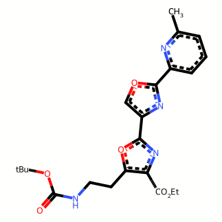 CCOC(=O)c1nc(-c2coc(-c3cccc(C)n3)n2)oc1CCNC(=O)OC(C)(C)C